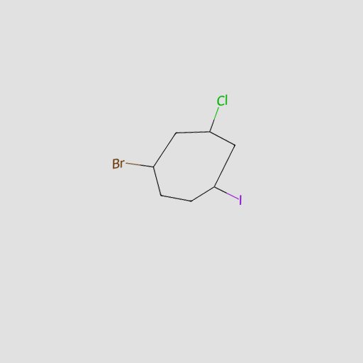 ClC1CC(Br)CCC(I)C1